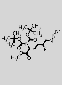 COC(=O)[C@@H](CCC(F)CN=[N+]=[N-])N(C(=O)OC(C)(C)C)C(=O)OC(C)(C)C